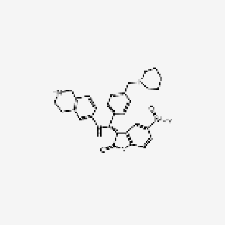 O=C1Nc2ccc([N+](=O)[O-])cc2C1=C(Nc1ccc2c(c1)CCNC2)c1ccc(CN2CCCCC2)cc1